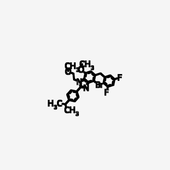 COCCn1c(-c2ccc(C(C)C)cc2)nc2c(Br)c(Cc3cc(F)cc(F)c3)cc(OC)c21